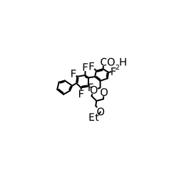 CCOCC1COC(c2cc(F)c(C(=O)O)c(F)c2-c2c(F)c(F)c(-c3ccccc3)c(F)c2F)OC1